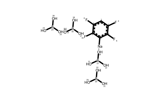 Fc1cc(F)c(F)[c]([Na])c1F.OB(O)O.OB(O)O.OB(O)O.OB(O)O